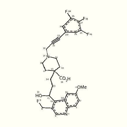 COc1ccc2ncc(CF)c(C(O)CCC3(C(=O)O)CCN(CC#Cc4cc(F)c(F)c(F)c4)CC3)c2c1